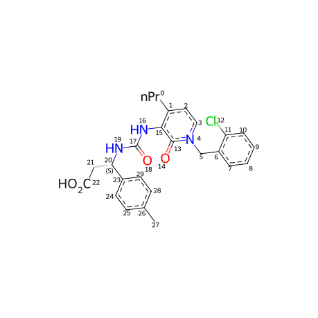 CCCc1ccn(Cc2ccccc2Cl)c(=O)c1NC(=O)N[C@@H](CC(=O)O)c1ccc(C)cc1